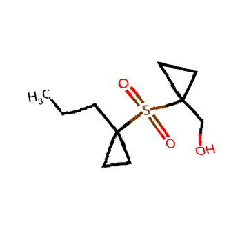 CCCC1(S(=O)(=O)C2(CO)CC2)CC1